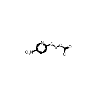 O=C(Cl)OSSc1ccc([N+](=O)[O-])cn1